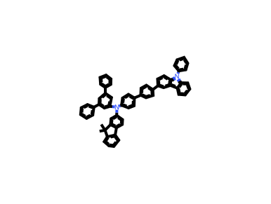 CC1(C)c2ccccc2-c2ccc(N(c3ccc(-c4ccc(-c5ccc6c(c5)c5ccccc5n6-c5ccccc5)cc4)cc3)c3cc(-c4ccccc4)cc(-c4ccccc4)c3)cc21